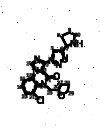 O=c1c2c(-n3cc(C4CCCN4)nn3)ncn2c2cccc(Cl)c2n1CC1CCCO1